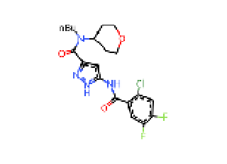 CCCCN(C(=O)c1cc(NC(=O)c2cc(F)c(F)cc2Cl)[nH]n1)C1CCOCC1